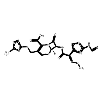 CO/N=C(/C(=O)NC1C(=O)N2C(C(=O)O)=C(CSc3nc(C)ns3)CS[C@H]12)c1csc(NC=O)n1